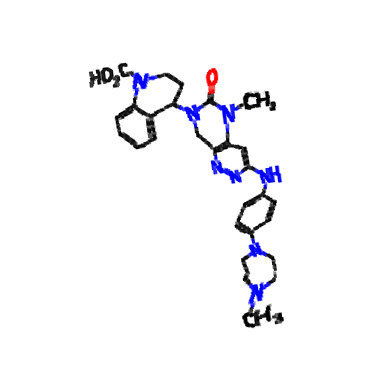 CN1CCN(c2ccc(Nc3cc4c(nn3)CN(C3CCN(C(=O)O)c5ccccc53)C(=O)N4C)cc2)CC1